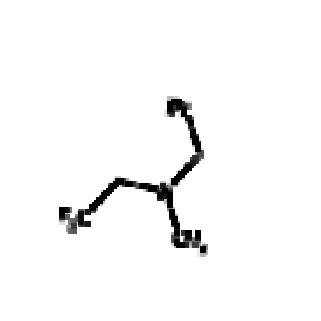 CC(C)CN(C)CC(F)(F)F